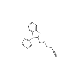 N#CCC/C=C/c1sc2ccccc2c1-c1ccccc1